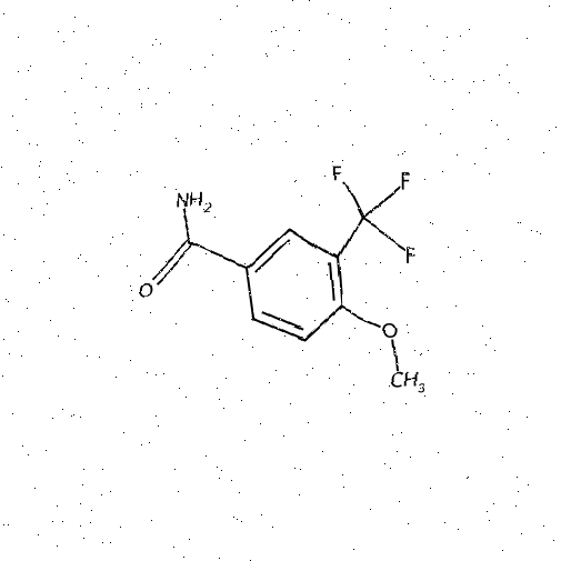 COc1ccc(C(N)=O)cc1C(F)(F)F